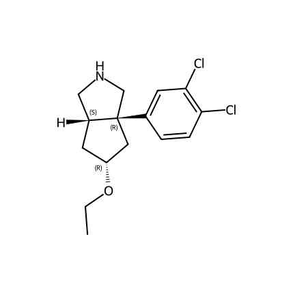 CCO[C@@H]1C[C@@H]2CNC[C@]2(c2ccc(Cl)c(Cl)c2)C1